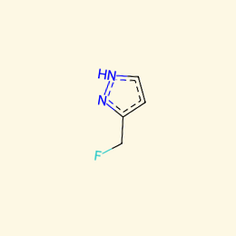 FCc1cc[nH]n1